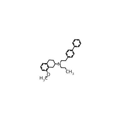 CCCN(CCc1ccc(-c2ccccc2)cc1)C1CCc2cccc(OC)c2C1